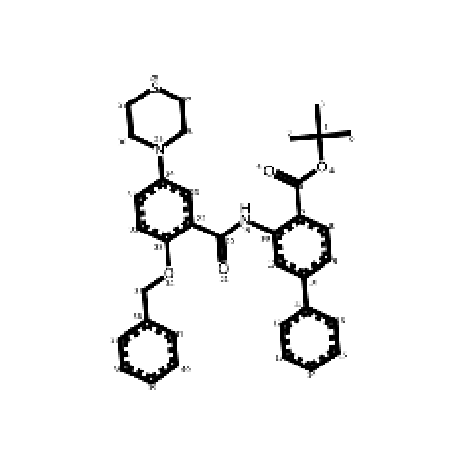 CC(C)(C)OC(=O)c1ccc(-c2ccccc2)cc1NC(=O)c1cc(N2CCSCC2)ccc1OCc1ccccc1